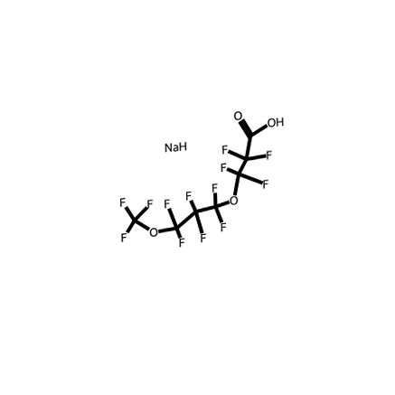 O=C(O)C(F)(F)C(F)(F)OC(F)(F)C(F)(F)C(F)(F)OC(F)(F)F.[NaH]